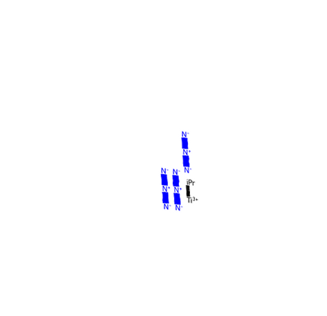 C[CH](C)[Ti+3].[N-]=[N+]=[N-].[N-]=[N+]=[N-].[N-]=[N+]=[N-]